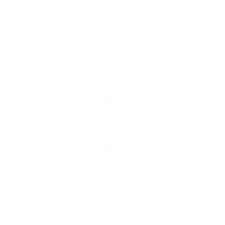 O=c1cnc2ccc(F)cc2n1CCN1CCC(NCc2cc(-c3cccs3)on2)CC1